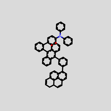 C1=Cc2ccc3c(-c4cccc(-c5c6ccccc6c(-c6ccccc6-c6ccc(N(c7ccccc7)c7ccccc7)cc6)c6ccccc56)c4)ccc4c3c2C(C=C4)C1